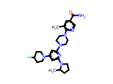 Cc1cc(C(N)=O)cnc1N1CCN(c2cc(N3CCC(F)CC3)cc(N3CCCC3C)n2)CC1